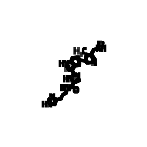 CCNCc1cncc(-c2ccc3[nH]nc(-c4ncc(C(=O)NCCCc5c[nH]cn5)[nH]4)c3c2)c1C